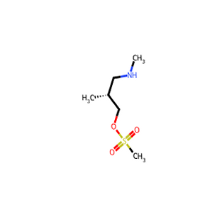 CNC[C@@H](C)COS(C)(=O)=O